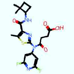 Cc1sc(N(C(=O)CCC(=O)O)c2cc(F)nc(F)c2)nc1C(=O)NC1CCC1(C)C